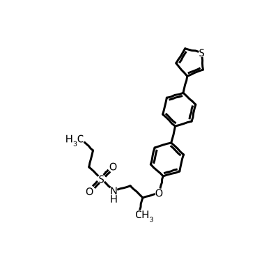 CCCS(=O)(=O)NCC(C)Oc1ccc(-c2ccc(-c3ccsc3)cc2)cc1